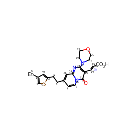 CCc1csc(CCc2ccn3c(=O)c(/C=C/C(=O)O)c(N4CCOCC4)nc3c2)c1